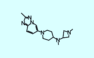 Cc1nc2ccc(N3CCC(N(C)C4CN(C)C4)CC3)cn2n1